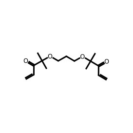 C=CC(=O)C(C)(C)OCCCOC(C)(C)C(=O)C=C